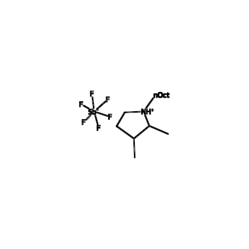 CCCCCCCC[NH+]1CCC(C)C1C.[F][Sb-]([F])([F])([F])([F])[F]